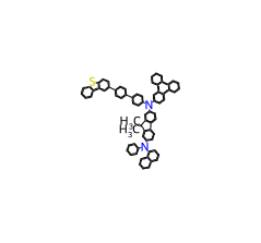 CC1(C)c2cc(N(c3ccc(-c4ccc(-c5ccc6sc7ccccc7c6c5)cc4)cc3)c3ccc4c5ccccc5c5ccccc5c4c3)ccc2-c2ccc(N(c3ccccc3)c3cccc4ccccc34)cc21